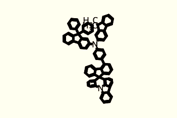 CC1(C)c2ccccc2-c2ccc(N(c3ccc(-c4cccc5c4-c4ccccc4C54c5ccccc5-n5c6ccccc6c6cccc4c65)cc3)c3ccc4c(c3)C(c3ccccc3)(c3ccccc3)c3ccccc3-4)cc21